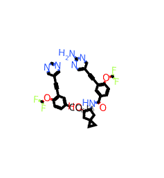 Nc1ncc(C#Cc2cc(C(=O)N[C@H]3CC4(CC4)C[C@@H]3O)ccc2OC(F)F)cn1.O=C(O)c1ccc(OC(F)F)c(C#Cc2cncnc2)c1